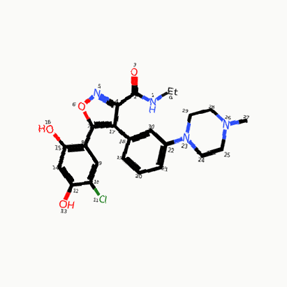 CCNC(=O)c1noc(-c2cc(Cl)c(O)cc2O)c1-c1cccc(N2CCN(C)CC2)c1